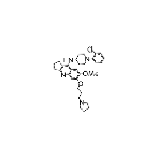 COc1cc2c(NC3CCN(c4ccccc4Cl)CC3)c3c(nc2cc1OCCCN1CCCC1)CCC3